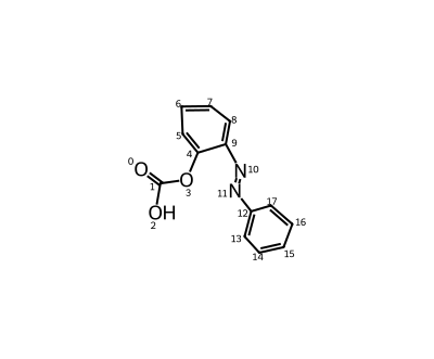 O=C(O)Oc1ccccc1N=Nc1ccccc1